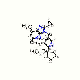 Cc1cc(C)c2nc(C3CC3)n(Cc3ccc(C4(C(=O)O)CCCC4)nc3)c2n1